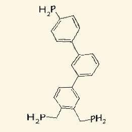 PCc1ccc(-c2cccc(-c3ccc(P)cc3)c2)cc1CP